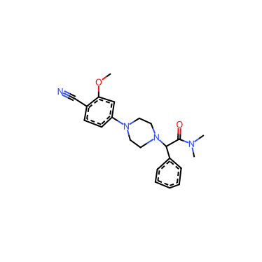 COc1cc(N2CCN(C(C(=O)N(C)C)c3ccccc3)CC2)ccc1C#N